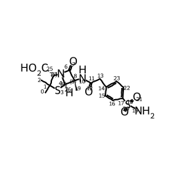 CC1(C)S[C@H]2N(C(=O)[C@]2(C)NC(=O)Cc2ccc(S(N)(=O)=O)cc2)[C@H]1C(=O)O